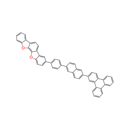 c1ccc2c(c1)oc1c2ccc2c3cc(-c4ccc(-c5ccc6cc(-c7ccc8c9ccccc9c9ccccc9c8c7)ccc6c5)cc4)ccc3oc21